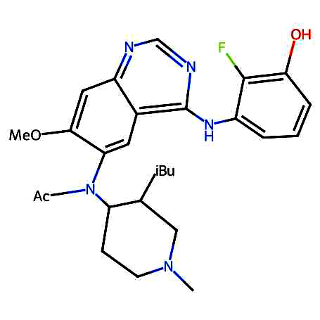 CCC(C)C1CN(C)CCC1N(C(C)=O)c1cc2c(Nc3cccc(O)c3F)ncnc2cc1OC